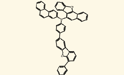 c1ccc(-c2cccc3c2oc2ccc(-c4ccc(N(c5ccc6c(ccc7ccccc76)c5)c5cc6ccccc6c6oc7ccccc7c56)cc4)cc23)cc1